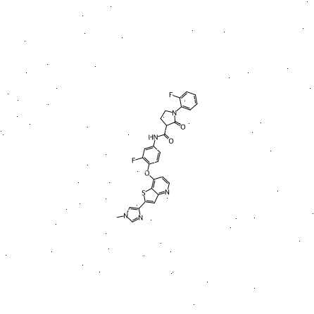 Cn1cnc(-c2cc3nccc(Oc4ccc(NC(=O)C5CCN(c6ccccc6F)C5=O)cc4F)c3s2)c1